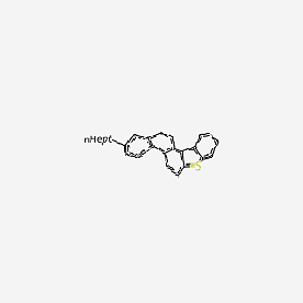 CCCCCCCc1ccc2c(ccc3c2ccc2sc4ccccc4c23)c1